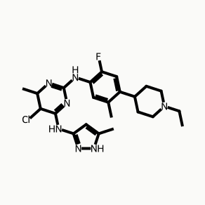 CCN1CCC(c2cc(F)c(NC3=NC(C)C(Cl)C(Nc4cc(C)[nH]n4)=N3)cc2C)CC1